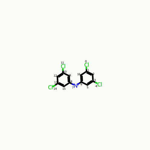 Clc1cc(Cl)cc([N]c2cc(Cl)cc(Cl)c2)c1